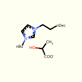 CC(O)C(=O)[O-].CCCCCCCCCCCCn1cc[n+](CCCC)c1